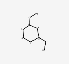 CCC1[CH]CCC(CC)C1